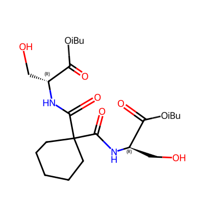 CC(C)COC(=O)[C@@H](CO)NC(=O)C1(C(=O)N[C@H](CO)C(=O)OCC(C)C)CCCCC1